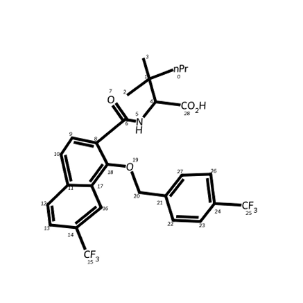 CCCC(C)(C)C(NC(=O)c1ccc2ccc(C(F)(F)F)cc2c1OCc1ccc(C(F)(F)F)cc1)C(=O)O